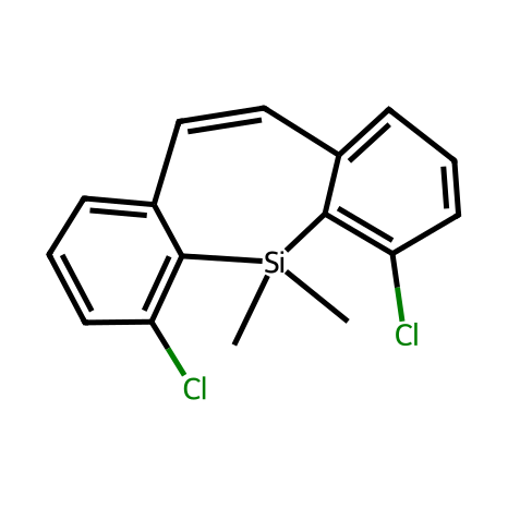 C[Si]1(C)c2c(Cl)cccc2C=Cc2cccc(Cl)c21